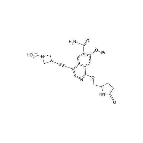 CC(C)Oc1cc2c(OCC3CCC(=O)N3)ncc(C#CC3CN(C(=O)O)C3)c2cc1C(N)=O